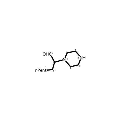 CCCCCCC([C]=O)N1CCNCC1